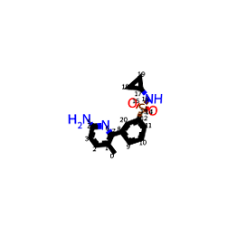 Cc1ccc(N)nc1-c1cccc(S(=O)(=O)NC2CC2)c1